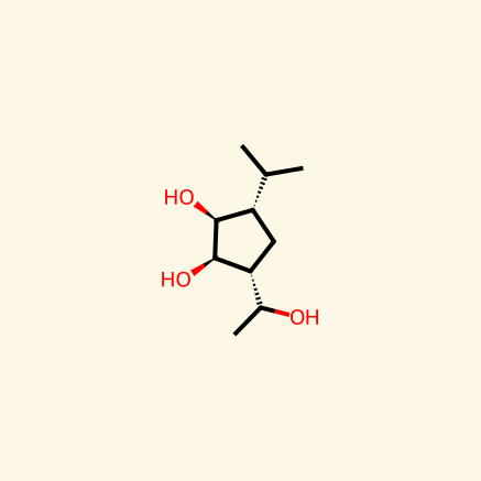 CC(O)[C@H]1C[C@@H](C(C)C)[C@H](O)[C@@H]1O